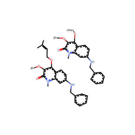 CC(C)=CCOc1c(OC(C)C)c(=O)n(C)c2cc(NCc3ccccc3)ccc12.CCCCCCOc1c(OC(C)C)c(=O)n(C)c2cc(NCc3ccccc3)ccc12